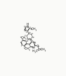 Cc1ccc(C)c(-c2cnc(OC(C)C)nc2N2CCC(c3nc[nH]c3C)CC2)c1